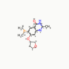 Cc1nc2cc(OC3CCOC3)c(P(C)C)cc2c(=O)[nH]1